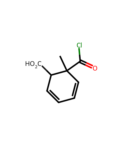 CC1(C(=O)Cl)C=CC=CC1C(=O)O